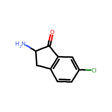 NC1Cc2ccc(Cl)cc2C1=O